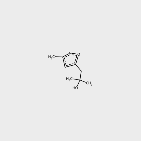 Cc1cc(CC(C)(C)O)on1